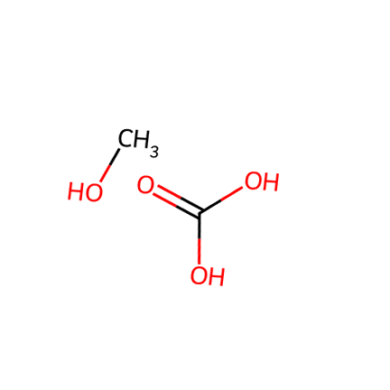 CO.O=C(O)O